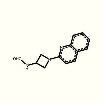 O=CNC1CN(c2ccc3ccccc3n2)C1